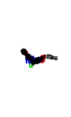 CC(C)(C)OC(=O)N1CCC(c2cc(Cl)c3[nH]c(-c4ccc(COc5ccccc5)cc4)nc3n2)CC1